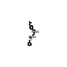 CC(C)Cc1ccc(-c2c[nH]c(CCNC(=O)OCc3ccccc3)n2)cc1